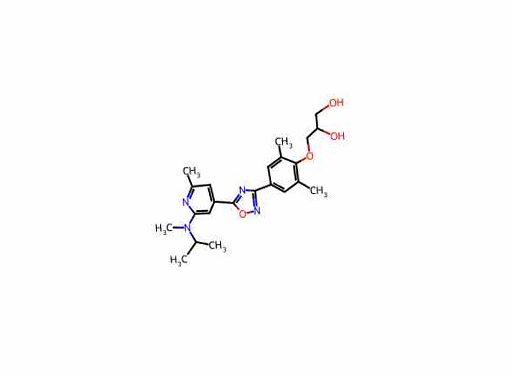 Cc1cc(-c2nc(-c3cc(C)c(OCC(O)CO)c(C)c3)no2)cc(N(C)C(C)C)n1